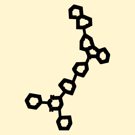 c1ccc(-c2cc(-c3ccc(-c4ccc(-n5c6ccccc6c6cc(-c7ccc8ccccc8c7)ccc65)cc4)cc3)nc(-c3ccccc3)n2)cc1